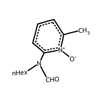 CCCCCCN(C=O)c1cccc(C)[n+]1[O-]